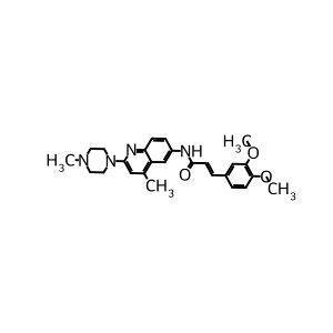 COc1ccc(C=CC(=O)Nc2ccc3nc(N4CCN(C)CC4)cc(C)c3c2)cc1OC